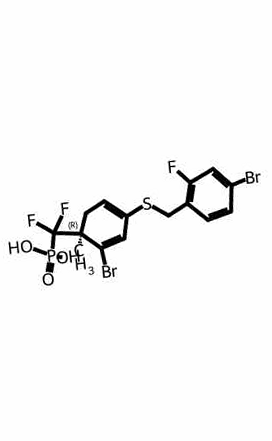 C[C@]1(C(F)(F)P(=O)(O)O)CC=C(SCc2ccc(Br)cc2F)C=C1Br